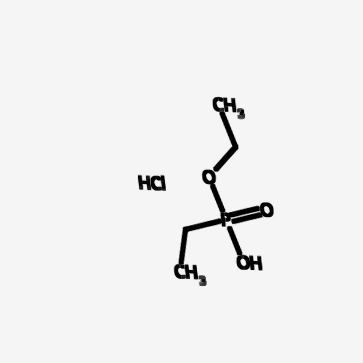 CCOP(=O)(O)CC.Cl